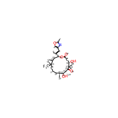 C/C(=C\c1coc(C)n1)[C@@H]1CC(C)C(C)(C(F)(F)F)CCC[C@H](C)[C@H](O)[C@@H](C)C(=O)C(C)(C)[C@@H](O)CC(=O)O1